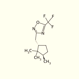 C[C@@H]1CC[C@@H](Cc2noc(C(F)(F)F)n2)C1(C)C